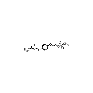 CC(C)=CCOc1ccc(OCCOS(C)(=O)=O)cc1